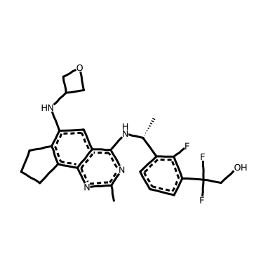 Cc1nc(N[C@H](C)c2cccc(C(F)(F)CO)c2F)c2cc(NC3COC3)c3c(c2n1)CCC3